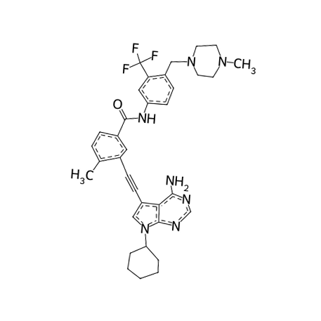 Cc1ccc(C(=O)Nc2ccc(CN3CCN(C)CC3)c(C(F)(F)F)c2)cc1C#Cc1cn(C2CCCCC2)c2ncnc(N)c12